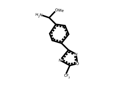 COC(N)c1ccc(-c2noc(C(F)(F)F)n2)cc1